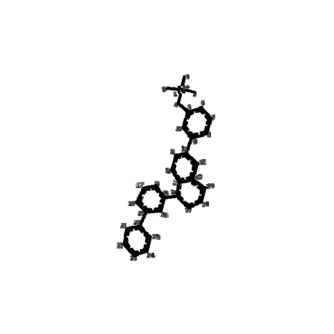 C[N+](C)(C)Cc1cccc(-c2ccc3c(-c4cccc(-c5ccccc5)c4)cccc3c2)c1